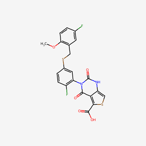 COc1ccc(F)cc1CSc1ccc(F)c(-n2c(=O)[nH]c3csc(C(=O)O)c3c2=O)c1